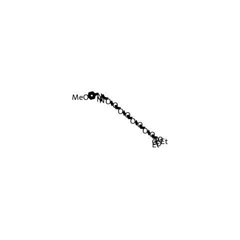 CCOP(=O)(CCOCCOCCOCCOCCOCCOCCOCCOCc1cn(Cc2ccc(OC)cc2)nn1)OCC